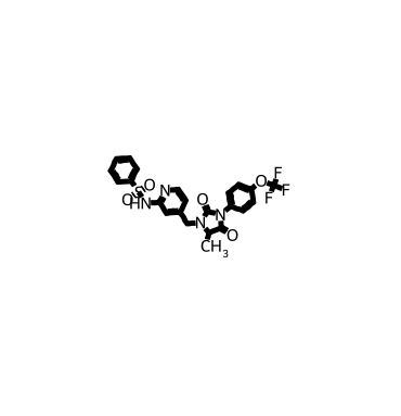 CC1C(=O)N(c2ccc(OC(F)(F)F)cc2)C(=O)N1Cc1ccnc(NS(=O)(=O)c2ccccc2)c1